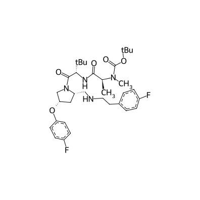 C[C@@H](C(=O)N[C@H](C(=O)N1C[C@@H](Oc2ccc(F)cc2)C[C@H]1CNCCc1ccc(F)cc1)C(C)(C)C)N(C)C(=O)OC(C)(C)C